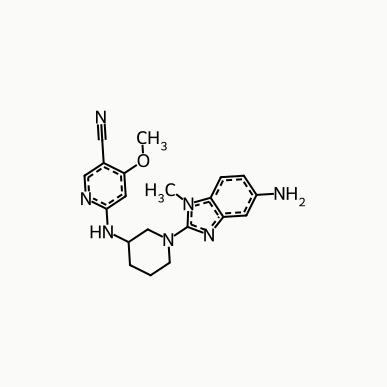 COc1cc(NC2CCCN(c3nc4cc(N)ccc4n3C)C2)ncc1C#N